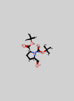 CC(C)(C)OC(=O)[C@@H]1CCC(C=O)N1C(=O)OC(C)(C)C